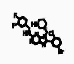 Fc1ccc(CNc2ncc3nc(-c4cc(Br)ccc4Cl)n(C[C@@H]4CCCNC4)c3n2)cc1F